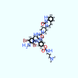 CN(C)CCCNC(=O)Oc1ccc2[nH]c([C@@H](Cc3cc(Br)c(N)c(Br)c3)NC(=O)N3CCC(N4CCc5ccccc5NC4=O)CC3)nc2c1